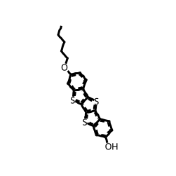 CCCCCOc1ccc2c(c1)sc1c2sc2c3ccc(O)cc3sc21